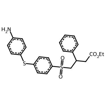 CCOC(=O)CC(CS(=O)(=O)c1ccc(Sc2ccc(N)cc2)cc1)c1ccccc1